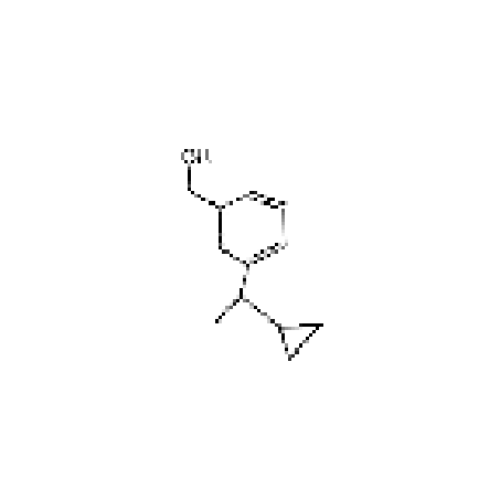 CC(c1cccc(CO)c1)C1CC1